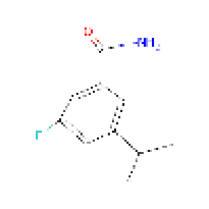 C[C](C)c1cc(F)cc(C(N)=O)c1